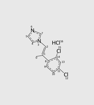 C/C(=C\n1ccnc1)c1ccc(Cl)cc1Cl.Cl